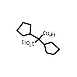 CCOC(=O)C(C(=O)OCC)(C1CCCC1)C1CCCC1